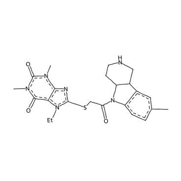 CCn1c(SCC(=O)N2c3ccc(C)cc3C3CNCCC32)nc2c1c(=O)n(C)c(=O)n2C